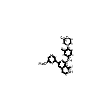 COc1cncc(-c2cc3cc[nH]c(=O)c3c(Nc3ccc(N4CCO[C@H](C)C4)c(C)c3)n2)n1